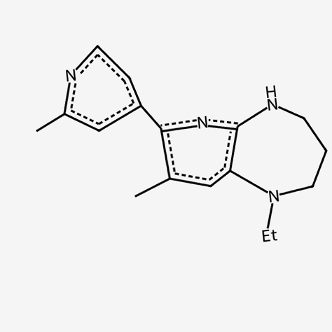 CCN1CCCNc2nc(-c3ccnc(C)c3)c(C)cc21